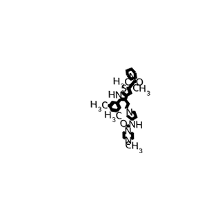 Cc1cc(C)cc(-c2[nH]c3sc(C(C)(C)C(=O)N4C5CCC4CC5)cc3c2CCN2CCC(NC(=O)N3CCN(C)CC3)C2)c1